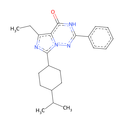 CCc1nc(C2CCC(C(C)C)CC2)n2nc(-c3ccccc3)[nH]c(=O)c12